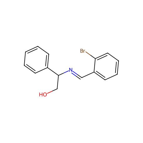 OCC(N=Cc1ccccc1Br)c1ccccc1